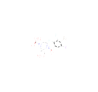 O=C(O)N1CCN(C(=O)c2cc(I)c(Br)c(F)c2F)[C@@H](CO)C1